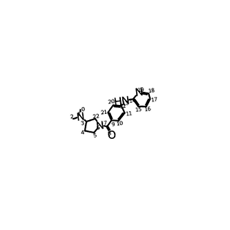 CN(C)C1CCN(C(=O)c2ccc(Nc3ccccn3)cc2)C1